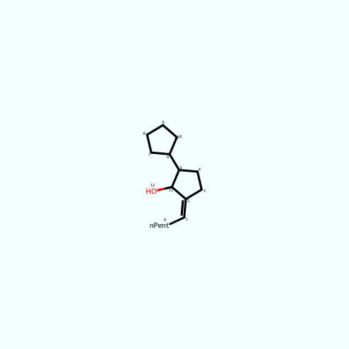 CCCCCC=C1CCC(C2CCCC2)C1O